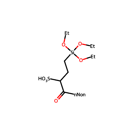 CCCCCCCCCC(=O)C(CC[Si](OCC)(OCC)OCC)S(=O)(=O)O